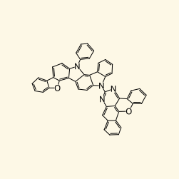 c1ccc(-n2c3ccc4c5ccccc5oc4c3c3ccc4c(c5ccccc5n4-c4nc5c6c(c7ccccc7cc6n4)Oc4ccccc4-5)c32)cc1